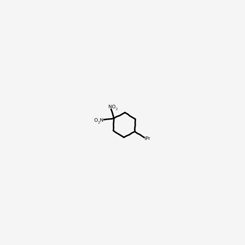 CC(C)C1CCC([N+](=O)[O-])([N+](=O)[O-])CC1